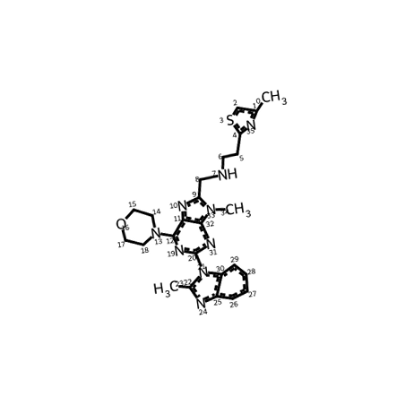 Cc1csc(CCNCc2nc3c(N4CCOCC4)nc(-n4c(C)nc5ccccc54)nc3n2C)n1